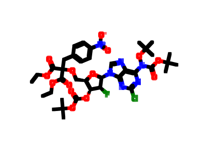 CCOC(=O)C(Cc1ccc([N+](=O)[O-])cc1)(OC[C@H]1O[C@@H](n2cnc3c(N(OC(C)(C)C)C(=O)OC(C)(C)C)nc(Cl)nc32)[C@@H](F)[C@@H]1OC(=O)OC(C)(C)C)C(=O)OCC